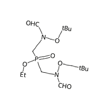 CCOP(=O)(CN(C=O)OC(C)(C)C)CN(C=O)OC(C)(C)C